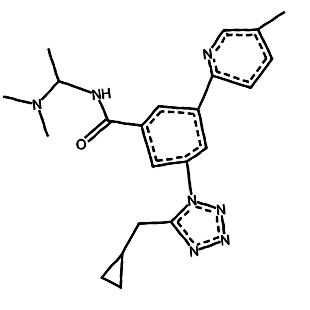 Cc1ccc(-c2cc(C(=O)NC(C)N(C)C)cc(-n3nnnc3CC3CC3)c2)nc1